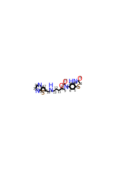 O=C1CSc2ccc(N3CC(CCCNCc4cc5nccnc5s4)OC3=O)cc2N1